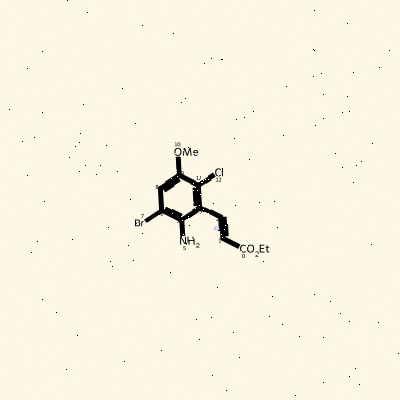 CCOC(=O)/C=C/c1c(N)c(Br)cc(OC)c1Cl